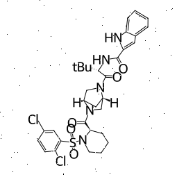 CC(C)(C)[C@H](NC(=O)c1cc2ccccc2[nH]1)C(=O)N1C[C@@H]2C[C@H]1CN2C(=O)[C@H]1CCCCN1S(=O)(=O)c1cc(Cl)ccc1Cl